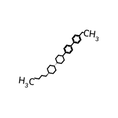 CCCCC[C@H]1CC[C@H](C2CCC(c3ccc(-c4ccc(CC)cc4)cc3)CC2)CC1